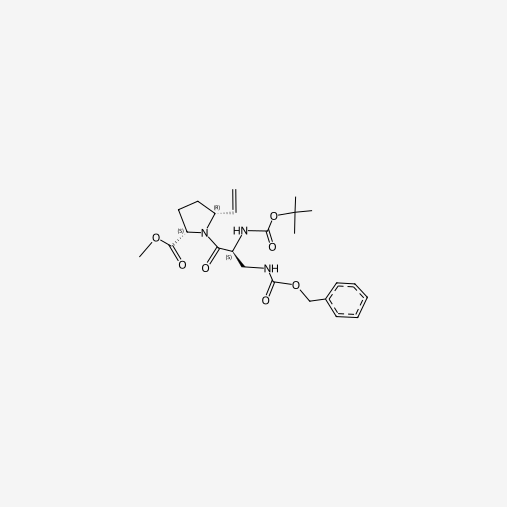 C=C[C@H]1CC[C@@H](C(=O)OC)N1C(=O)[C@H](CNC(=O)OCc1ccccc1)NC(=O)OC(C)(C)C